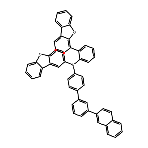 c1cc(-c2ccc(N(c3ccc4oc5ccccc5c4c3)c3ccccc3-c3cccc4c3oc3ccccc34)cc2)cc(-c2ccc3ccccc3c2)c1